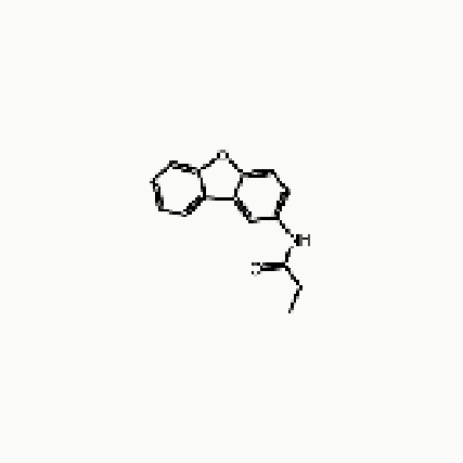 CCC(=O)Nc1ccc2oc3ccccc3c2c1